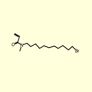 C=CC(=O)N(C)CCCCCCCCCCCBr